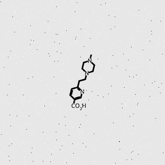 CN1CCN(CCc2ccc(C(=O)O)cn2)CC1